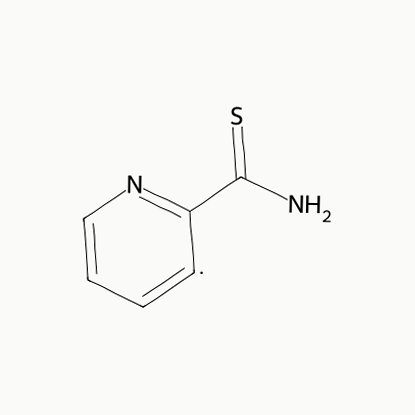 NC(=S)c1[c]cccn1